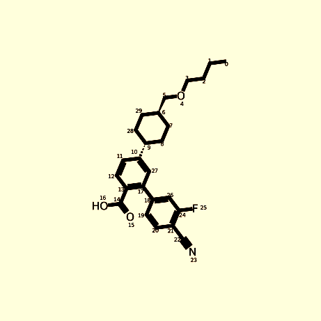 CCCCOC[C@H]1CC[C@H](c2ccc(C(=O)O)c(-c3ccc(C#N)c(F)c3)c2)CC1